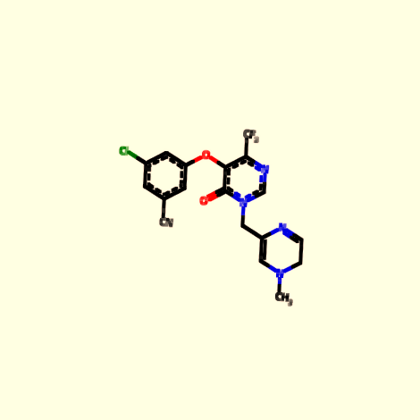 CN1C=C(Cn2cnc(C(F)(F)F)c(Oc3cc(Cl)cc(C#N)c3)c2=O)N=CC1